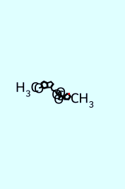 COc1ccc2c(c1)C(CCOS(=O)(=O)c1ccc(C)cc1)=CC2